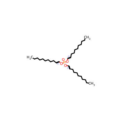 CCCCCCCCC/C=C/OP(=O)(O/C=C/CCCCCCCCC)O/C=C/CCCCCCCCC